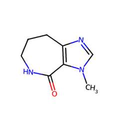 Cn1cnc2c1C(=O)NCCC2